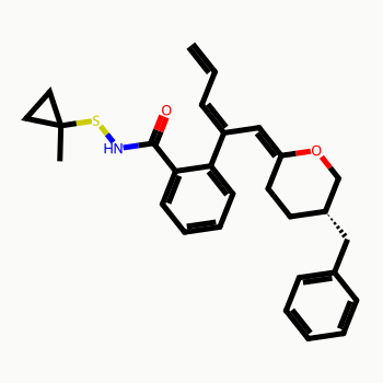 C=C/C=C(\C=C1/CC[C@@H](Cc2ccccc2)CO1)c1ccccc1C(=O)NSC1(C)CC1